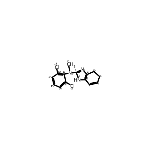 CN(c1nc2c([nH]1)C=CCC2)c1c(Cl)cccc1Cl